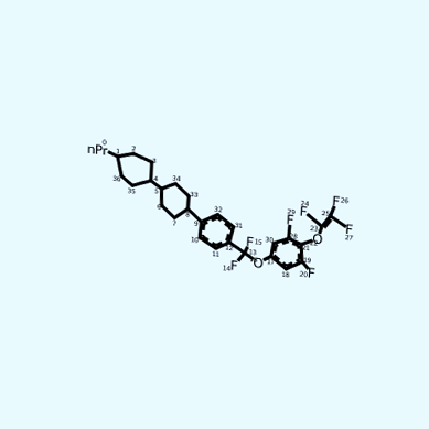 CCCC1CCC(C2CCC(c3ccc(C(F)(F)Oc4cc(F)c(OC(F)=C(F)F)c(F)c4)cc3)CC2)CC1